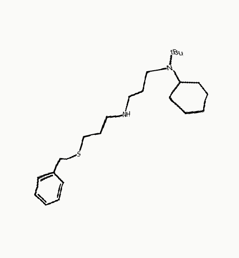 CC(C)(C)N(CCCNCCCSCc1ccccc1)C1CCCCC1